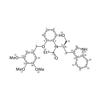 CCC(=O)N(c1ccccc1OCc1cc(OC)c(OC)c(OC)c1)[C@@H](CO)Cc1c[nH]c2ccccc12